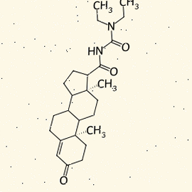 CCN(CC)C(=O)NC(=O)C1CCC2C3CCC4=CC(=O)CC[C@]4(C)C3CC[C@]12C